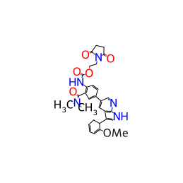 COC1=CC=CCC1c1c[nH]c2ncc(-c3ccc(NC(=O)OCCN4C(=O)CCC4=O)c(C(=O)N(C)C)c3)cc12